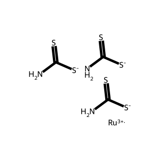 NC(=S)[S-].NC(=S)[S-].NC(=S)[S-].[Ru+3]